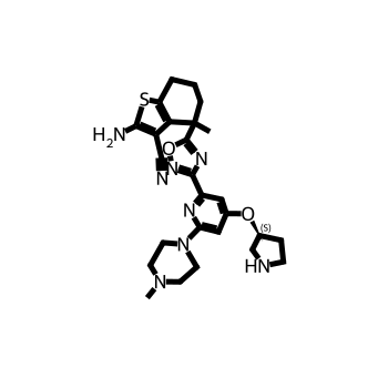 CN1CCN(c2cc(O[C@H]3CCNC3)cc(-c3noc(C4(C)CCCc5sc(N)c(C#N)c54)n3)n2)CC1